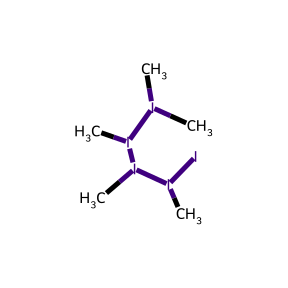 CI(C)I(C)I(C)I(C)I